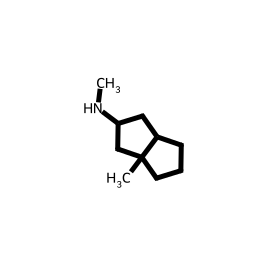 CNC1CC2CCCC2(C)C1